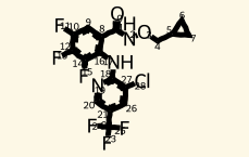 O=C(NOCC1CC1)c1cc(F)c(F)c(F)c1Nc1ncc(C(F)(F)F)cc1Cl